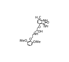 CCCn1c(=O)[nH]c2c(C)ccc(OCC(O)CNCCOc3c(OC)cccc3OC)c21